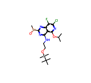 CC(C)Oc1nc(Cl)c(F)c2nc([S+](C)[O-])nc(NCCO[Si](C)(C)C(C)(C)C)c12